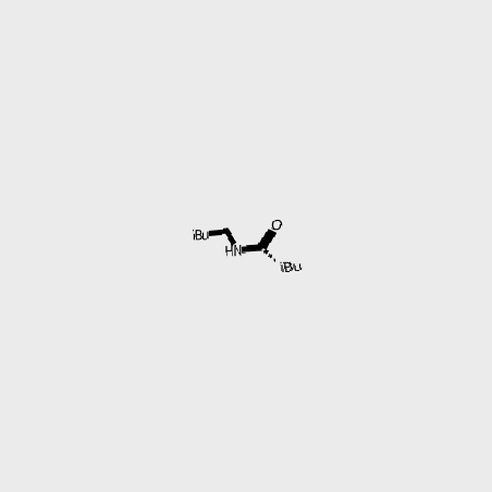 CCC(C)CNC(=O)[C@@H](C)CC